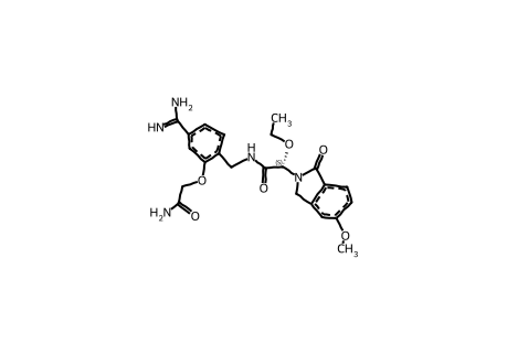 CCO[C@@H](C(=O)NCc1ccc(C(=N)N)cc1OCC(N)=O)N1Cc2cc(OC)ccc2C1=O